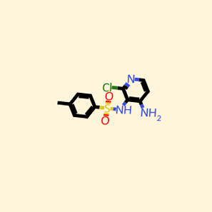 Cc1ccc(S(=O)(=O)Nc2c(N)ccnc2Cl)cc1